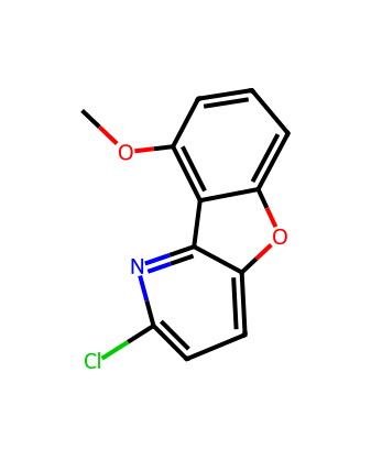 COc1cccc2oc3ccc(Cl)nc3c12